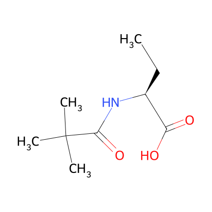 CC[C@H](NC(=O)C(C)(C)C)C(=O)O